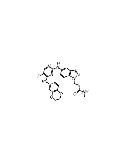 CNC(=O)CCn1ncc2cc(Nc3ncc(F)c(Nc4ccc5c(c4)OCCO5)n3)ccc21